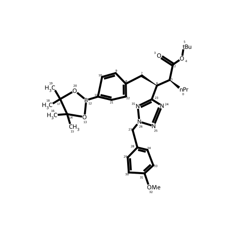 CCC[C@H](C(=O)OC(C)(C)C)[C@H](Cc1ccc(B2OC(C)(C)C(C)(C)O2)cc1)c1nnn(Cc2ccc(OC)cc2)n1